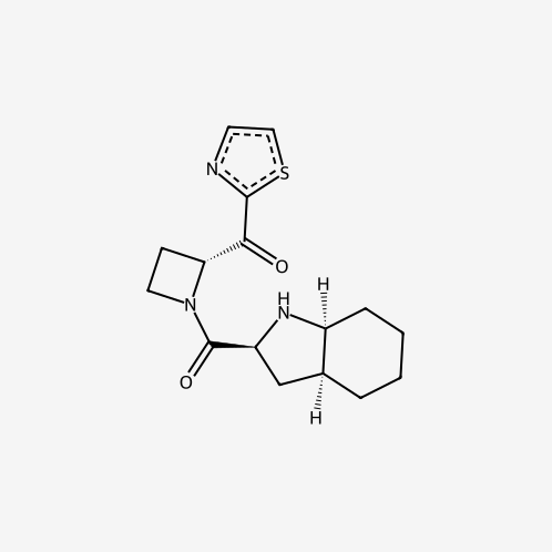 O=C(c1nccs1)[C@H]1CCN1C(=O)[C@@H]1C[C@@H]2CCCC[C@@H]2N1